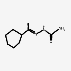 C/C(=N\NC(N)=O)C1CCCCC1